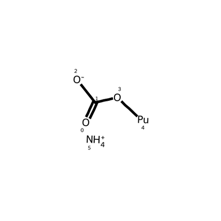 O=C([O-])[O][Pu].[NH4+]